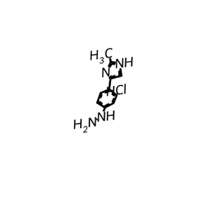 Cc1nc(-c2ccc(NN)cc2)c[nH]1.Cl